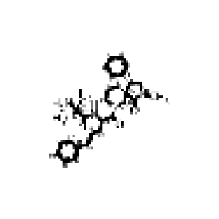 CN1C[C@@H](c2ccccc2)[C@@]2(CCCN(C(=O)C(CC=Cc3ccccc3)NC(=O)C(C)(C)N)C2)C1=O